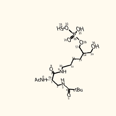 CC(=O)N[C@@H](CNC(=O)C(C)(C)C)C(=O)NCCCCC(CO)COP(=O)(O)OS